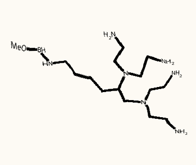 COBNCCCCC(CN(CCN)CCN)N(CCN)CCN